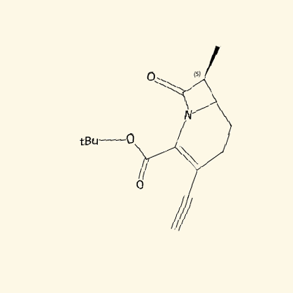 C#CC1=C(C(=O)OC(C)(C)C)N2C(=O)[C@@H](C)C2CC1